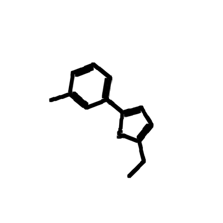 CCc1ccc(-c2cccc(C)c2)s1